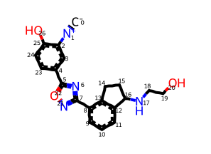 [C-]#[N+]c1cc(-c2nc(-c3cccc4c3CCC4NCCO)no2)ccc1O